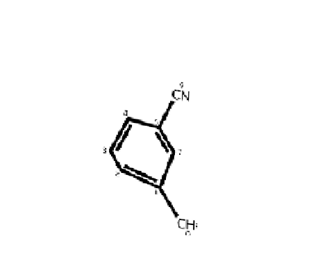 [CH]c1cccc(C#N)c1